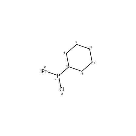 CC(C)P(Cl)C1CCCCC1